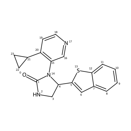 O=C1NCC(c2cc3ccccc3s2)N1c1cnccc1C1CC1